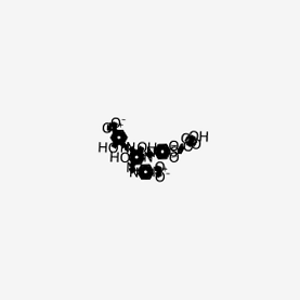 O=[N+]([O-])c1ccc(/N=N\c2cc(/N=N/c3ccc(S(=O)(=O)CCOS(=O)(=O)O)cc3)c(O)c(/N=N/c3ccc([N+](=O)[O-])cc3O)c2O)cc1